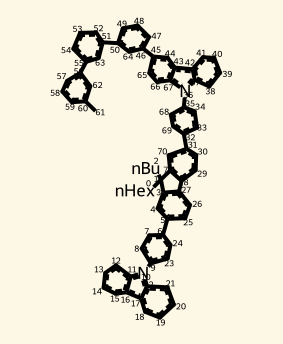 CCCCCCC1(CCCC)c2cc(-c3ccc(-n4c5ccccc5c5ccccc54)cc3)ccc2-c2ccc(-c3ccc(-n4c5ccccc5c5cc(-c6cccc(-c7cccc(-c8cccc(C)c8)c7)c6)ccc54)cc3)cc21